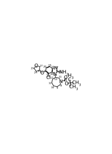 CC(C)(C)OC(=O)N1CCCCC[C@@H](n2c(N)nc3ccc(O[C@@H]4CCOC4)c(Cl)c32)C1